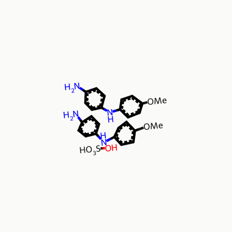 COc1ccc(Nc2ccc(N)cc2)cc1.COc1ccc(Nc2ccc(N)cc2)cc1.O=S(=O)(O)O